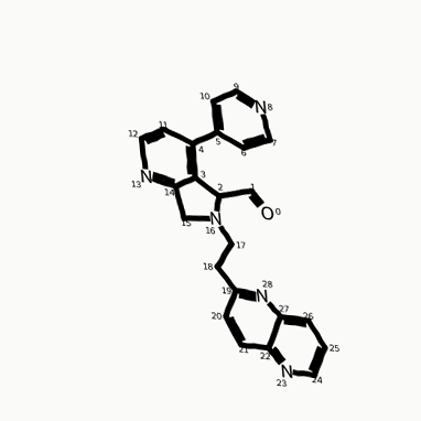 O=CC1c2c(-c3ccncc3)ccnc2CN1CCc1ccc2ncccc2n1